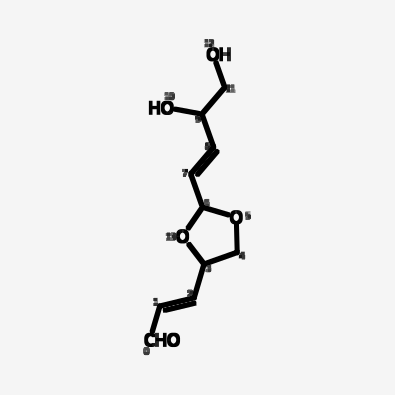 O=CC=CC1COC(C=CC(O)CO)O1